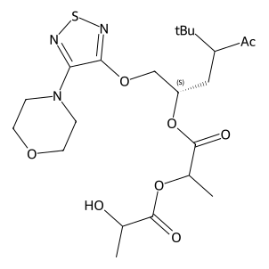 CC(=O)C(C[C@@H](COc1nsnc1N1CCOCC1)OC(=O)C(C)OC(=O)C(C)O)C(C)(C)C